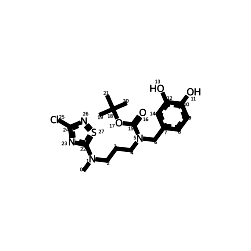 CN(CCCN(Cc1ccc(O)c(O)c1)C(=O)OC(C)(C)C)c1nc(Cl)ns1